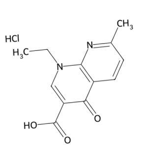 CCn1cc(C(=O)O)c(=O)c2ccc(C)nc21.Cl